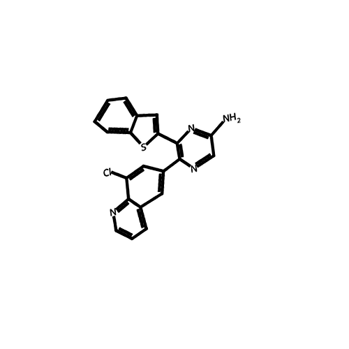 Nc1cnc(-c2cc(Cl)c3ncccc3c2)c(-c2cc3ccccc3s2)n1